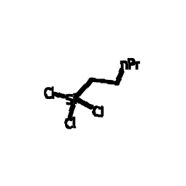 [CH2]CCCC[Si](Cl)(Cl)Cl